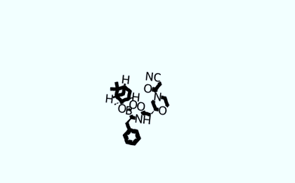 CC1(C)[C@@H]2C[C@H]3OB([C@H](Cc4ccccc4)NC(=O)C[C@@H]4CN(C(=O)CC#N)CCO4)O[C@@]3(C)[C@H]1C2